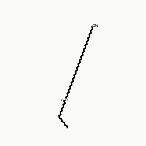 CCCCCC/C=C\CCCCCCCC(=O)OCCCCCCCCCCCCCCCCCCCCCCCCCCCCCCCCCCCCCCCO